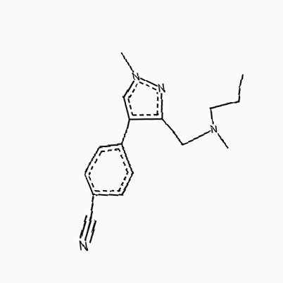 CCCN(C)Cc1nn(C)cc1-c1ccc(C#N)cc1